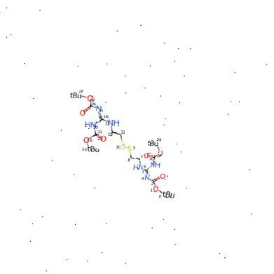 CC(C)(C)OC(=O)/N=C(/NCCSSCCN/C(=N/C(=O)OC(C)(C)C)NC(=O)OC(C)(C)C)NC(=O)OC(C)(C)C